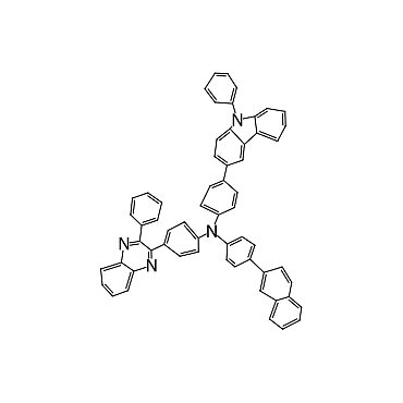 c1ccc(-c2nc3ccccc3nc2-c2ccc(N(c3ccc(-c4ccc5ccccc5c4)cc3)c3ccc(-c4ccc5c(c4)c4ccccc4n5-c4ccccc4)cc3)cc2)cc1